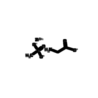 CP(=O)([O-])[O-].NCC(=O)[O-].[Zr+3]